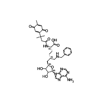 CC1=CC(=O)C(C(C)(C)CC(=O)N[C@@H](CC[C@H](CNCc2ccccc2)C[C@H]2O[C@@H](n3cnc4c(N)ncnc43)C(O)C2O)C(=O)O)=CC1=O